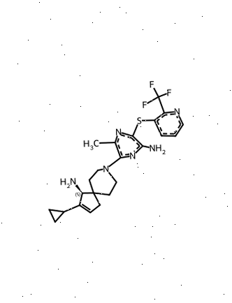 Cc1nc(Sc2cccnc2C(F)(F)F)c(N)nc1N1CCC2(CC=C(C3CC3)[C@H]2N)CC1